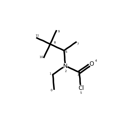 CCN(C(=O)Cl)C(C)C(C)(C)C